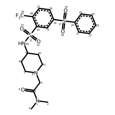 CN(C)C(=O)CN1CCC(NS(=O)(=O)c2cc(S(=O)(=O)c3ccccc3)ccc2C(F)(F)F)CC1